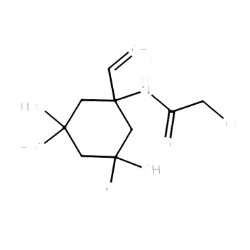 C=CC1(NC(=O)CCl)CC(C)(C)CC(C)(C)C1